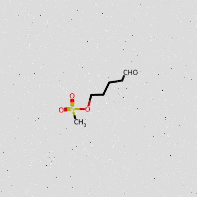 CS(=O)(=O)OCCCCC=O